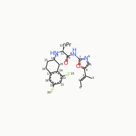 CC=C(C)c1cnc(NC(=O)[C@H](CCC)NC2CCc3cc(F)cc(F)c3C2)o1